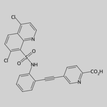 O=C(O)c1ccc(C#Cc2ccccc2NS(=O)(=O)c2c(Cl)ccc3c(Cl)ccnc23)cn1